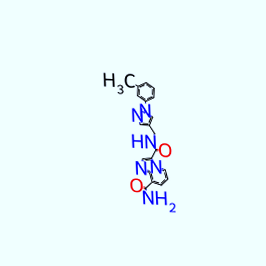 Cc1cccc(-n2cc(CNC(=O)c3cnc4c(C(N)=O)cccn34)cn2)c1